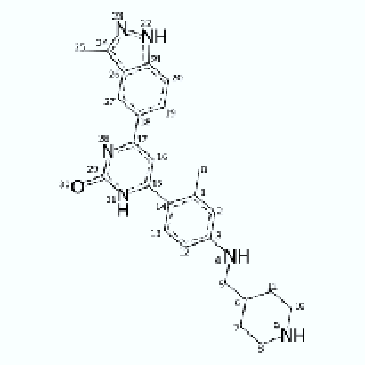 Cc1cc(NCC2CCNCC2)ccc1-c1cc(-c2ccc3[nH]nc(C)c3c2)nc(=O)[nH]1